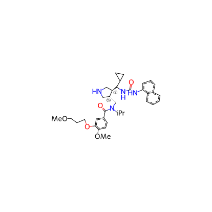 COCCCOc1cc(C(=O)N(C[C@@H]2CNC[C@H]2C(NC(=O)Nc2cccc3ccccc23)C2CC2)C(C)C)ccc1OC